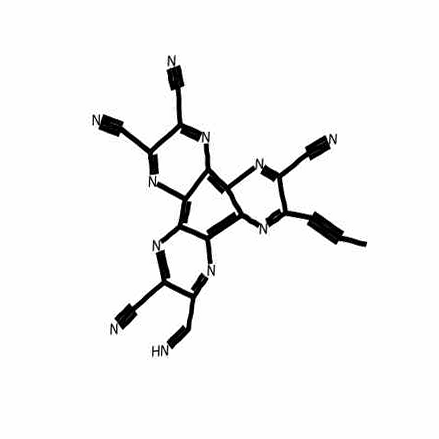 CC#Cc1nc2c(nc1C#N)c1nc(C#N)c(C#N)nc1c1nc(C#N)c(C=N)nc21